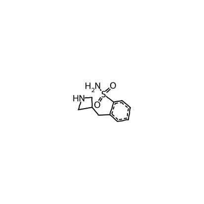 NS(=O)(=O)c1ccccc1CC1CNC1